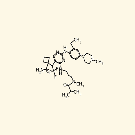 CCc1cc(N2CCN(C)CC2)ccc1Nc1ncc(C(C(F)(F)F)C2(C(N)=O)CCC2)c(NCCCN(C)C(=O)C(C)C)n1